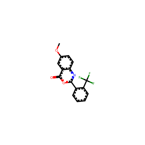 COc1ccc2nc(-c3ccccc3C(F)(F)F)oc(=O)c2c1